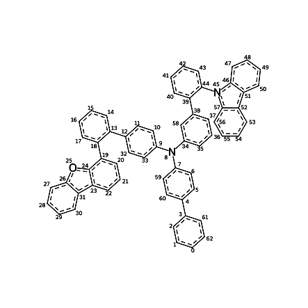 c1ccc(-c2ccc(N(c3ccc(-c4ccccc4-c4cccc5c4oc4ccccc45)cc3)c3cccc(-c4ccccc4-n4c5ccccc5c5ccccc54)c3)cc2)cc1